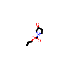 C=CCOC(=O)N1CCC(=O)C1